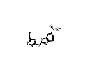 CCc1nnc(Sc2nc3ccc([N+](=O)[O-])cc3s2)s1